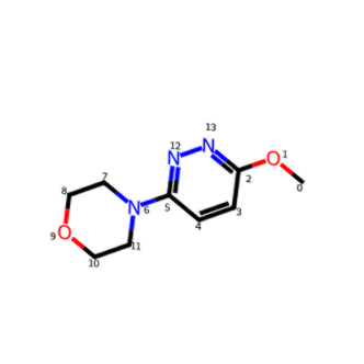 COc1ccc(N2CCOCC2)nn1